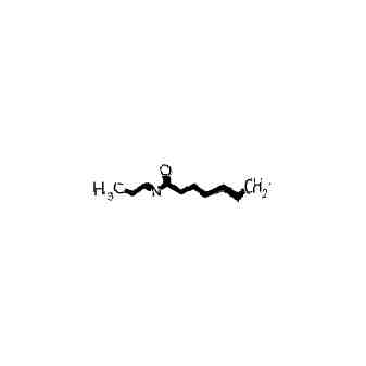 [CH2]CCCCCC(=O)N=CCC